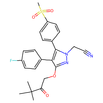 CC(C)(C)C(=O)COc1nn(CC#N)c(-c2ccc(S(C)(=O)=O)cc2)c1-c1ccc(F)cc1